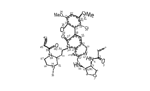 C=CC(=O)N[C@H]1COC[C@H]1Nc1ncc2cc(-c3c(Cl)c(OC)cc(OC)c3Cl)c(=O)n(CCC3CN(C)CCN3C(=O)C=C)c2n1